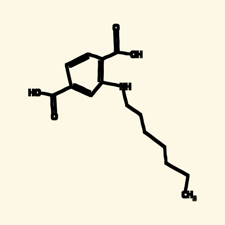 CCCCCCCNc1cc(C(=O)O)ccc1C(=O)O